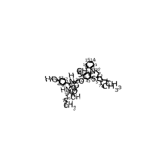 CCCCC1(CCCC)CCN(c2ccccc2)c2cc(SC)c(OCC(=O)N[C@@H](C(=O)N[C@@H](CCSC)C(=O)O)c3ccc(O)cc3)cc2S1